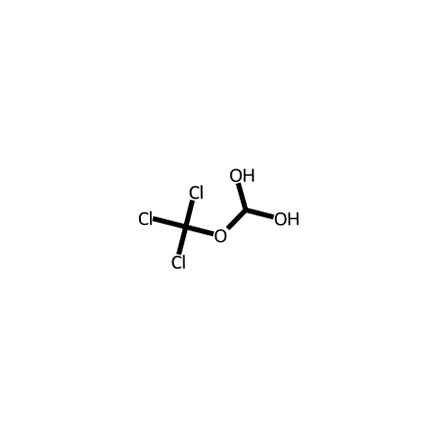 OC(O)OC(Cl)(Cl)Cl